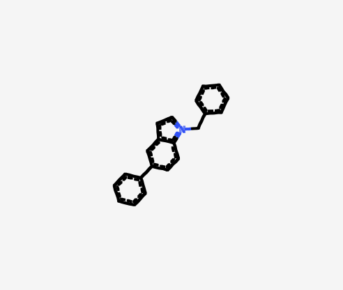 c1ccc(Cn2ccc3cc(-c4ccccc4)ccc32)cc1